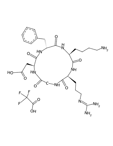 NCCCC[C@@H]1NC(=O)[C@@H](Cc2ccccc2)NC(=O)[C@H](CC(=O)O)NC(=O)CNC(=O)[C@H](CCCN=C(N)N)NC1=O.O=C(O)C(F)(F)F